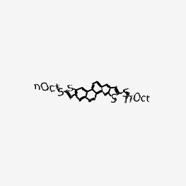 CCCCCCCCSc1cc2cc3ccc4c5cc6sc(SCCCCCCCC)cc6cc5ccc4c3cc2s1